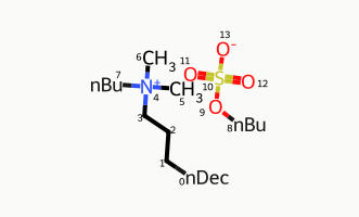 CCCCCCCCCCCCC[N+](C)(C)CCCC.CCCCOS(=O)(=O)[O-]